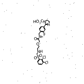 CN(Cc1ccc(C2=NCCN2C(=O)O)cc1F)C(=O)COCCNCS(=O)(=O)c1cccc(Cl)c1Cl